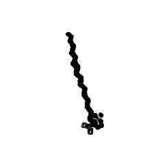 CCCCCCC=CCCCCCCCCCC(CC)(P(=O)=O)[N+](C)(C)C